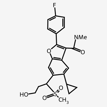 CNC(=O)c1c(-c2ccc(F)cc2)oc2cc(C(CCO)S(C)(=O)=O)c(C3CC3)cc12